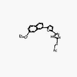 CCOc1ccc2ccc(-c3ccc(-c4nnc(SCC(C)=O)[nH]4)o3)cc2c1